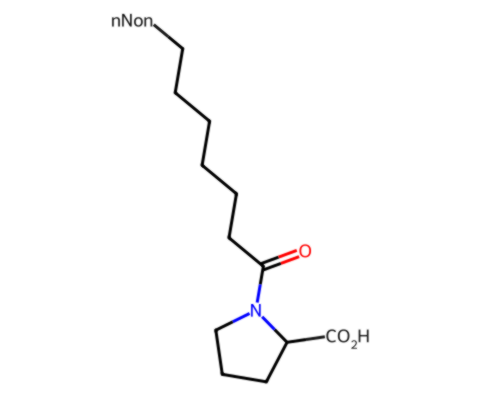 CCCCCCCCCCCCCCCC(=O)N1CCCC1C(=O)O